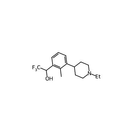 CCN1CCC(c2cccc(C(O)C(F)(F)F)c2C)CC1